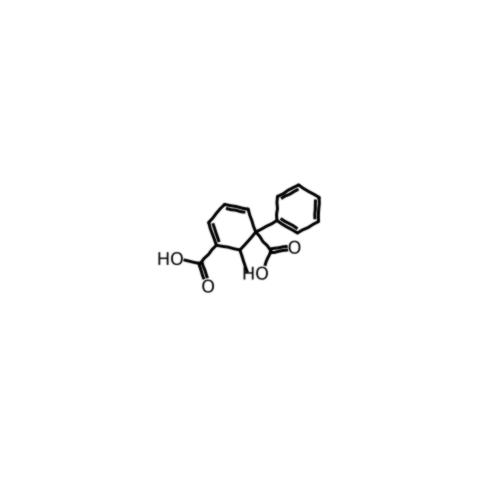 CC1C(C(=O)O)=CC=CC1(C(=O)O)c1ccccc1